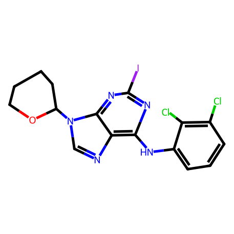 Clc1cccc(Nc2nc(I)nc3c2ncn3C2CCCCO2)c1Cl